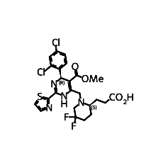 COC(=O)C1=C(CN2CC(F)(F)CC[C@@H]2CCC(=O)O)NC(c2nccs2)=N[C@H]1c1ccc(Cl)cc1Cl